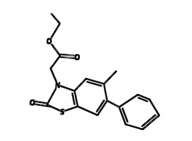 CCOC(=O)Cn1c(=O)sc2cc(-c3ccccc3)c(C)cc21